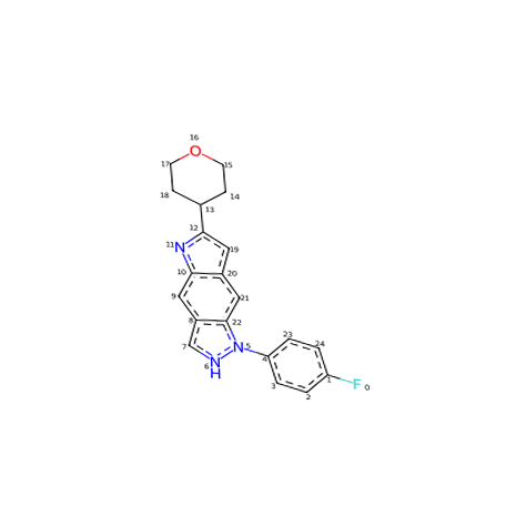 Fc1ccc(-n2[nH]cc3cc4nc(C5CCOCC5)cc4cc32)cc1